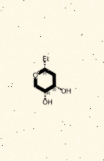 CC[C@@H]1C[C@H](O)[C@H](O)CO1